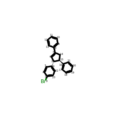 Brc1ccc([C@@H]2C=C(c3ccccc3)C[C@H]2c2ccccc2)cc1